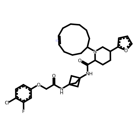 O=C(COc1ccc(Cl)c(F)c1)NC12CC(NC(=O)C3CCC(c4ccco4)CN3C3CCC/C=C\CCCCC3)(C1)C2